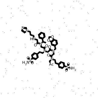 CC(=O)CN(CCc1ccc(S(N)(=O)=O)cc1)C(=O)CN(Cc1ccc2c(c1)OCO2)C(=O)CN(CCc1ccc(S(N)(=O)=O)cc1)C(=O)CN(C(=O)CNCCCn1ccnc1)C(C)c1ccccc1